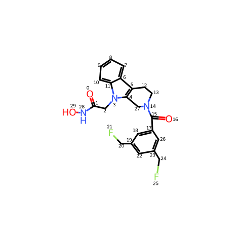 O=C(Cn1c2c(c3ccccc31)CCN(C(=O)c1cc(CF)cc(CF)c1)C2)NO